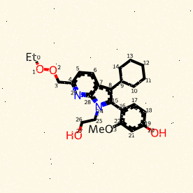 CCOOCc1ccc2c(C3CCCCC3)c(-c3ccc(O)cc3OC)n(CCO)c2n1